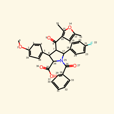 COc1ccc(C2C(C(=O)c3cc(C)oc3C)C(c3ccc(F)cc3)N(C(=O)c3ccccc3)C2C(=O)O)cc1